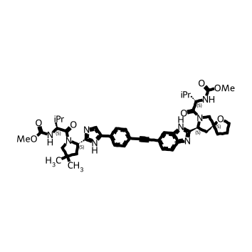 COC(=O)N[C@H](C(=O)N1CC(C)(C)C[C@H]1c1ncc(-c2ccc(C#Cc3ccc4nc([C@@H]5C[C@@]6(CCCO6)CN5C(=O)[C@@H](NC(=O)OC)C(C)C)[nH]c4c3)cc2)[nH]1)C(C)C